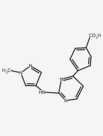 Cn1cc(Nc2nccc(-c3ccc(C(=O)O)cc3)n2)cn1